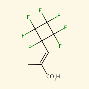 CC(=CC1(F)C(F)(F)C(F)(F)C1(F)F)C(=O)O